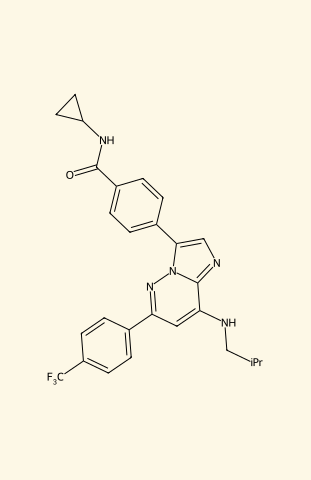 CC(C)CNc1cc(-c2ccc(C(F)(F)F)cc2)nn2c(-c3ccc(C(=O)NC4CC4)cc3)cnc12